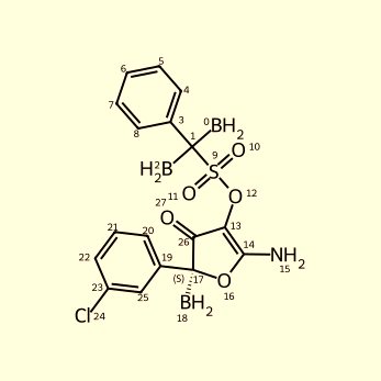 BC(B)(c1ccccc1)S(=O)(=O)OC1=C(N)O[C@@](B)(c2cccc(Cl)c2)C1=O